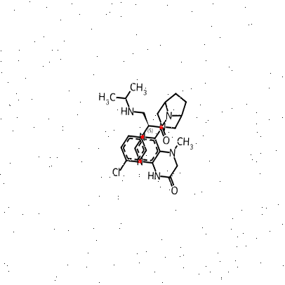 CC(C)NC[C@@H](C(=O)N1C2CCC1CN(c1ncnc3c1N(C)CC(=O)N3)C2)c1ccc(Cl)cc1